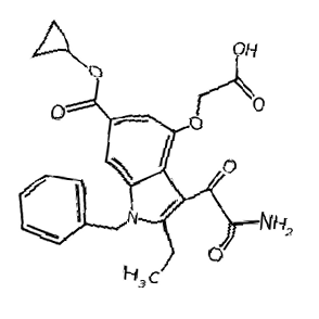 CCc1c(C(=O)C(N)=O)c2c(OCC(=O)O)cc(C(=O)OC3CC3)cc2n1Cc1ccccc1